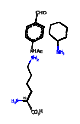 CC(=O)Nc1ccc(C=O)cc1.NC1CCCCC1.NCCCC[C@H](N)C(=O)O